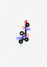 CCN(C(=O)C(CCNC(=O)c1cccc(OC)c1)C1CCCCC1)c1ccccc1C1CNc2ccc(F)cc21